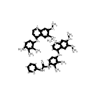 COc1cc2nccc(Oc3ccc(N)c(C)c3C)c2cc1OC.COc1cc2nccc(Oc3ccc(NC(=O)Nc4ccccn4)c(C)c3C)c2cc1OC